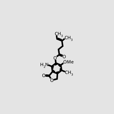 CC=C(C)CCC(=O)Oc1c(N)c2c(c(C)c1OC)COC2=O